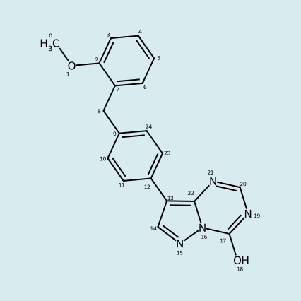 COc1ccccc1Cc1ccc(-c2cnn3c(O)ncnc23)cc1